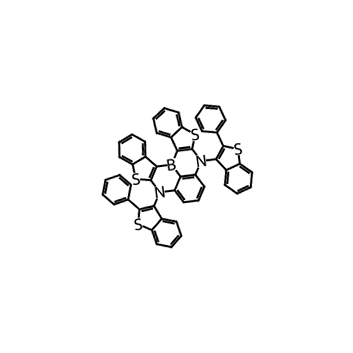 c1ccc(-c2sc3ccccc3c2N2c3cccc4c3B(c3c2sc2ccccc32)c2c(sc3ccccc23)N4c2c(-c3ccccc3)sc3ccccc23)cc1